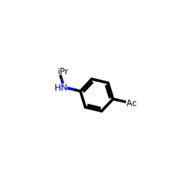 CC(=O)c1ccc(NC(C)C)cc1